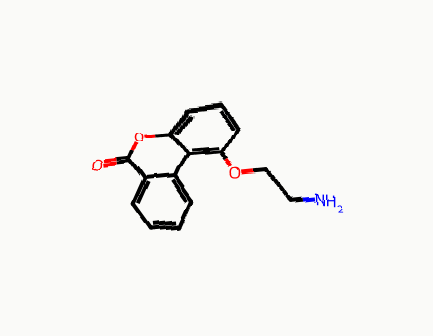 NCCOc1cccc2oc(=O)c3ccccc3c12